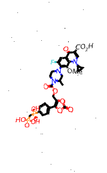 COc1c(N2CCN(C(=O)OCc3oc(=O)oc3-c3ccc(P(=O)(O)CP(=O)(O)O)cc3)C(C)C2)c(F)cc2c(=O)c(C(=O)O)cn(C3CC3)c12